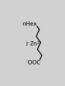 CCCCCCCCCCCC(=O)[O-].[I-].[Zn+2]